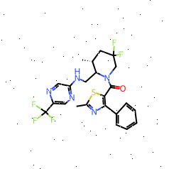 Cc1nc(-c2ccccc2)c(C(=O)N2CC(F)(F)C[C@@H](C)C2CNc2cnc(C(F)(F)F)cn2)s1